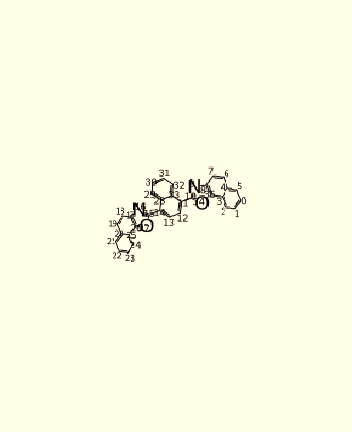 c1ccc2c(c1)ccc1nc(-c3ccc(-c4nc5ccc6ccccc6c5o4)c4ccccc34)oc12